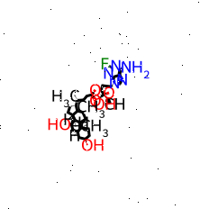 C#C[C@]1(CO)O[C@@H](n2cnc3c(N)nc(F)nc32)C[C@@H]1OC(=O)CC[C@@H](C)[C@H]1CC[C@H]2[C@@H]3[C@@H](O)C[C@@H]4C[C@H](O)CC[C@]4(C)[C@H]3CC[C@]12C